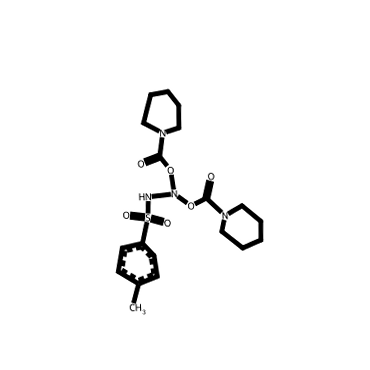 Cc1ccc(S(=O)(=O)NN(OC(=O)N2CCCCC2)OC(=O)N2CCCCC2)cc1